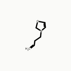 C=CCCN1C=COC1